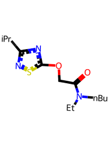 CCCCN(CC)C(=O)COc1nc(C(C)C)ns1